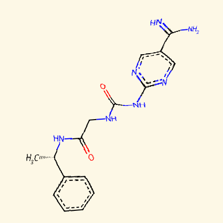 C[C@H](NC(=O)CNC(=O)Nc1ncc(C(=N)N)cn1)c1ccccc1